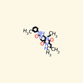 CCCN1C(=O)C(CC(C)C)NC(=O)C12CCN(C(=O)Nc1cccc(C)c1)CC2